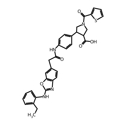 CCc1ccccc1Nc1nc2ccc(CC(=O)Nc3ccc(C4CN(C(=O)c5cccs5)CC4C(=O)O)cc3)cc2o1